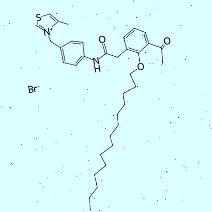 CCCCCCCCCCCCCCOc1c(CC(=O)Nc2ccc(C[n+]3cscc3C)cc2)cccc1C(C)=O.[Br-]